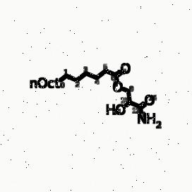 CCCCCCCCCCCCCC(=O)OCC(O)C(N)=O